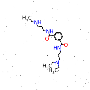 CCNCCCNC(=O)c1cccc(C(=O)NCCCN(CC)CC)c1